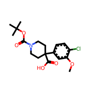 COc1cc(C2(C(=O)O)CCN(C(=O)OC(C)(C)C)CC2)ccc1Cl